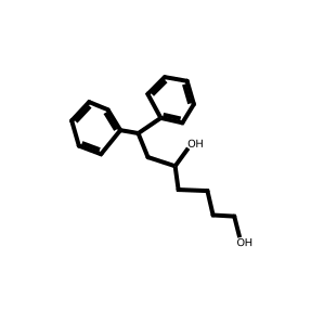 OCCCCC(O)CC(c1ccccc1)c1ccccc1